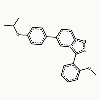 COc1ccccc1-c1nnc2ccc(-c3ccc(OC(C)C)cc3)cn12